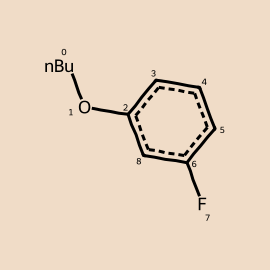 CCCCOc1cccc(F)c1